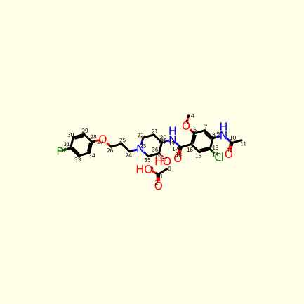 CC(=O)O.COc1cc(NC(C)=O)c(Cl)cc1C(=O)N[C@@H]1CCN(CCCOc2ccc(F)cc2)C[C@@H]1O